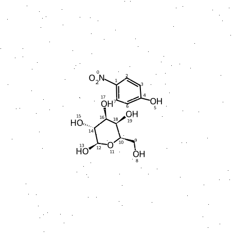 O=[N+]([O-])c1ccc(O)cc1.OC[C@H]1O[C@@H](O)[C@H](O)[C@@H](O)[C@H]1O